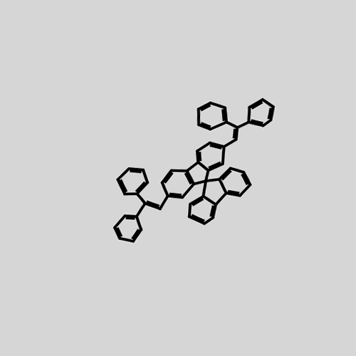 C(=C(c1ccccc1)c1ccccc1)c1ccc2c(c1)C1(c3ccccc3-c3ccccc31)c1cc(C=C(c3ccccc3)c3ccccc3)ccc1-2